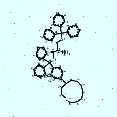 N[C@H](CSC(c1ccccc1)(c1ccccc1)c1ccccc1)C(=O)OC(c1ccccc1)(c1ccc(C2CCCCCCCCCC2)cc1)c1ccccc1Cl